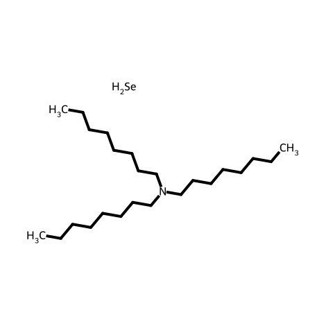 CCCCCCCCN(CCCCCCCC)CCCCCCCC.[SeH2]